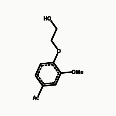 COc1cc(C(C)=O)ccc1OCCO